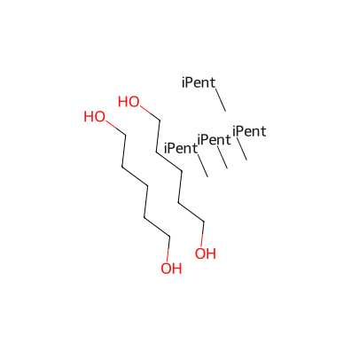 CCCC(C)C.CCCC(C)C.CCCC(C)C.CCCC(C)C.OCCCCCO.OCCCCCO